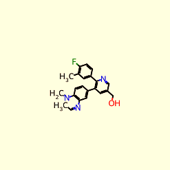 C=Nc1ccc(-c2cc(CO)cnc2-c2ccc(F)c(C)c2)cc1/N=C\C